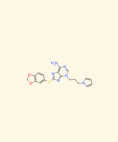 Nc1ncn(CCCn2cccc2)c2nc(Sc3ccc4c(c3)OCO4)nc1-2